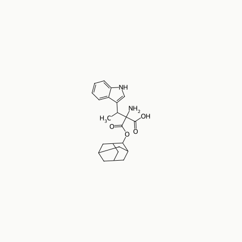 CC(c1c[nH]c2ccccc12)C(N)(C(=O)O)C(=O)OC1C2CC3CC(C2)CC1C3